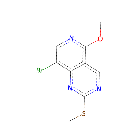 COc1ncc(Br)c2nc(SC)ncc12